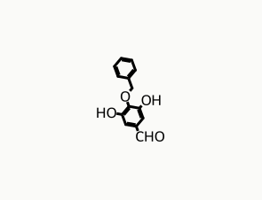 O=Cc1cc(O)c(OCc2ccccc2)c(O)c1